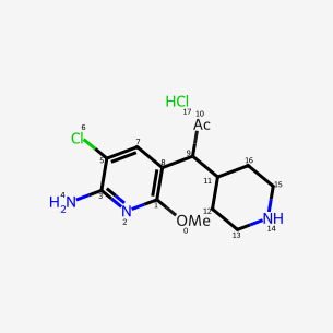 COc1nc(N)c(Cl)cc1C(C(C)=O)C1CCNCC1.Cl